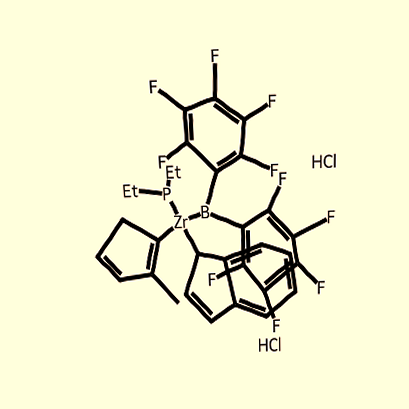 CC[P](CC)[Zr]([B](c1c(F)c(F)c(F)c(F)c1F)c1c(F)c(F)c(F)c(F)c1F)([C]1=C(C)C=CC1)[CH]1C=Cc2ccccc21.Cl.Cl